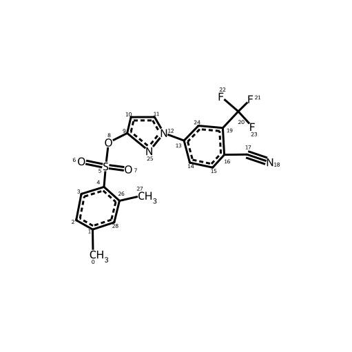 Cc1ccc(S(=O)(=O)Oc2ccn(-c3ccc(C#N)c(C(F)(F)F)c3)n2)c(C)c1